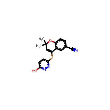 CC1(C)C=C(Sc2ccc(O)nn2)c2cc(C#N)ccc2O1